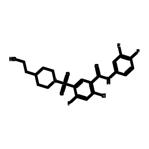 O=C(Nc1ccc(F)c(F)c1)c1cc(S(=O)(=O)N2CCC(CCO)CC2)c(F)cc1Cl